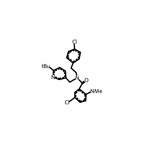 CNc1ccc(Cl)cc1C(=O)N(CCc1ccc(Cl)cc1)Cc1ccc(C(C)(C)C)nc1